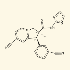 C[C@@]1(C(=O)Nc2nccs2)Cc2ccc(C#N)cc2[C@@H]1c1cccc(C#N)c1